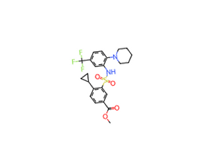 COC(=O)c1ccc(C2CC2)c(S(=O)(=O)Nc2cc(C(F)(F)F)ccc2N2CCCCC2)c1